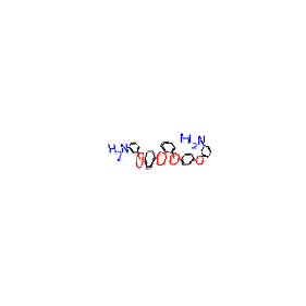 Nc1cccc(Oc2ccc(Oc3ccccc3Oc3ccc(Oc4cccc(N)c4)cc3)cc2)c1